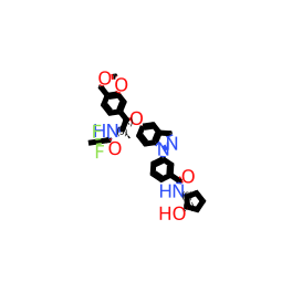 C[C@H](NC(=O)C(C)(F)F)[C@H](Oc1ccc2c(cnn2-c2cccc(C(=O)N[C@H]3CCC[C@H]3O)c2)c1)c1ccc2c(c1)OCOC2